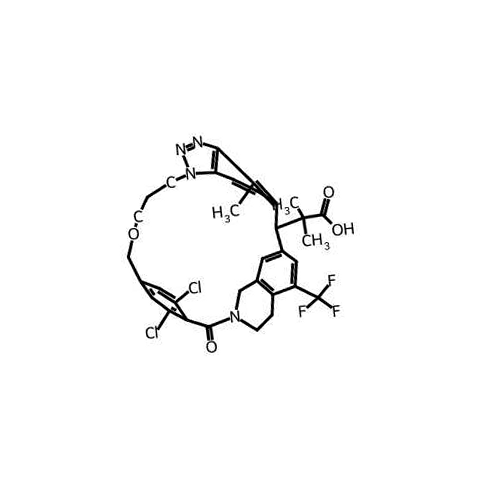 Cc1c2ccc3c1nnn3CCCOCc1cc(Cl)c(c(Cl)c1)C(=O)N1CCc3c(cc(cc3C(F)(F)F)C2C(C)(C)C(=O)O)C1